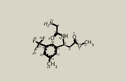 COC(=O)C[C@H](NC(=O)CN)c1cc(C)cc(C(F)(F)F)c1